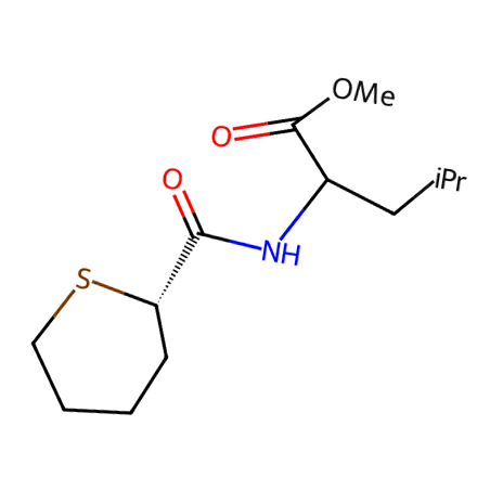 COC(=O)C(CC(C)C)NC(=O)[C@@H]1CCCCS1